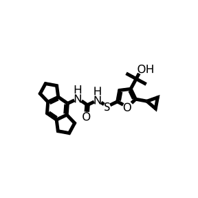 CC(C)(O)c1cc(SNC(=O)Nc2c3c(cc4c2CCC4)CCC3)oc1C1CC1